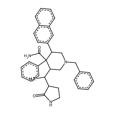 CC(C1CCNC1=O)C1CN(Cc2ccccc2)CC(c2ccc3ccccc3c2)C1(C(N)=O)c1ccccc1